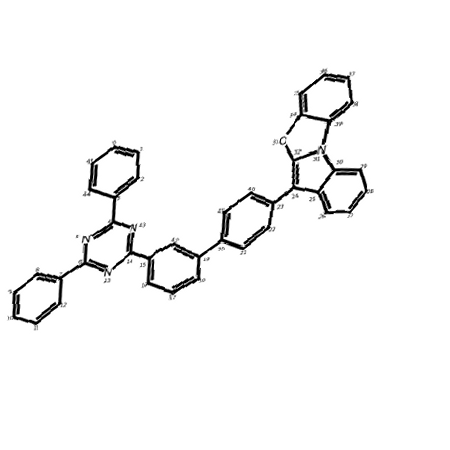 c1ccc(-c2nc(-c3ccccc3)nc(-c3cccc(-c4ccc(-c5c6ccccc6n6c5oc5ccccc56)cc4)c3)n2)cc1